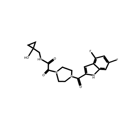 O=C(NCC1(O)CC1)C(=O)N1CCN(C(=O)c2cc3c(F)cc(F)cc3[nH]2)CC1